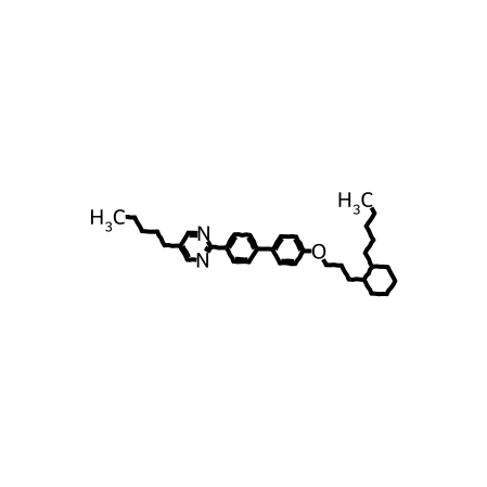 CCCCCc1cnc(-c2ccc(-c3ccc(OCCCC4CCCCC4CCCCC)cc3)cc2)nc1